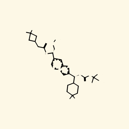 COC[C@H](NC(=O)CC1CC(F)(F)C1)c1cnn2cc([C@@H](NC(=O)OC(C)(C)C)C3CCC(F)(F)CC3)nc2c1